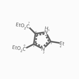 CCOC(=O)c1nc(CC)[nH]c1C(=O)OCC